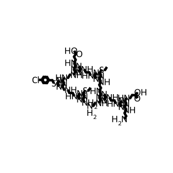 CCSc1nc(N)nc(NCCNCc2nc(NCCNc3nc(NCCNc4nc(NCCNc5nc(NCCN)nc(NCCNc6nc(NCCN)nc(NCCC(=O)O)n6)n5)nc(SCC)n4)nc(NCCC(=O)O)n3)nc(SCc3ccc(Cl)cc3)n2)n1